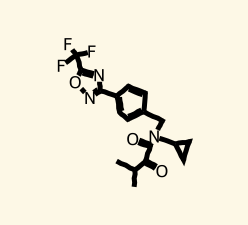 CC(C)C(=O)C(=O)N(Cc1ccc(-c2noc(C(F)(F)F)n2)cc1)C1CC1